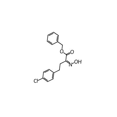 O=C(OCc1ccccc1)/C(CCc1ccc(Cl)cc1)=N\O